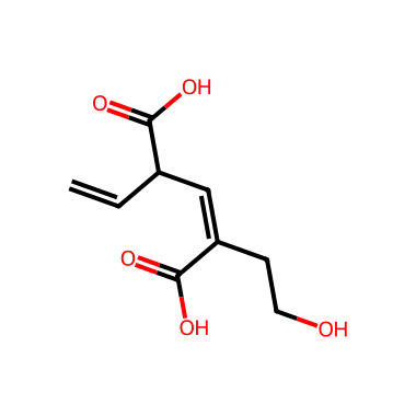 C=CC(C=C(CCO)C(=O)O)C(=O)O